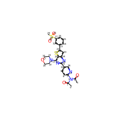 CC(=O)N(C(C)=O)c1ccc(-c2nc(N3CCOCC3)c3sc(-c4cccc(S(C)(=O)=O)c4)cc3n2)cn1